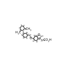 Cc1cccc(C)c1-c1cccc(COc2ccc3c(c2)OCC3CC(=O)O)c1